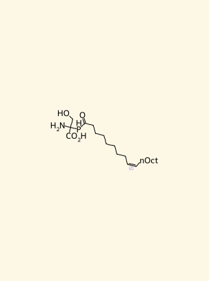 CCCCCCCC/C=C\CCCCCCCC(=O)PC(N)(CO)C(=O)O